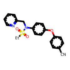 CCS(=O)(=O)N(Cc1ccccn1)c1ccc(Oc2ccc(C#N)cc2)cc1